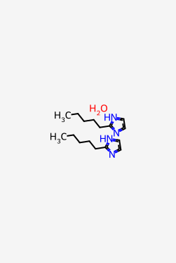 CCCCCc1ncc[nH]1.CCCCCc1ncc[nH]1.O